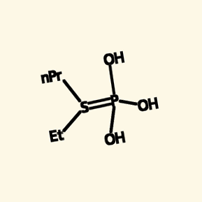 CCCS(CC)=P(O)(O)O